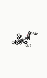 CCOc1cccc(CN2C(C(=O)Nc3nc(Cl)ccc3C)C(c3cccc(Cl)c3F)C[C@@H]2CCn2cnc3cc(C(=O)OC)ccc32)c1